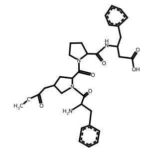 CCC(=O)CC1CC(C(=O)N2CCCC2C(=O)NC(CC(=O)O)Cc2ccccc2)N(C(=O)C(N)Cc2ccccc2)C1